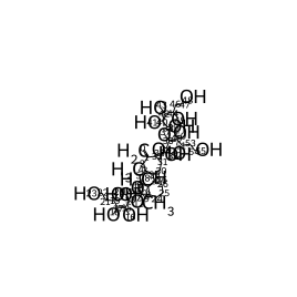 C=C1C[C@@]2(C)CCC3[C@](C)(C(=O)OC(O)/C(O)=C(/O)C(O)CCO)CCC[C@@]3(C)[C@@H]2CCC1OC(O)/C(OC(O)/C(O)=C(/O)C(O)CCO)=C(/O)C(O)CCO